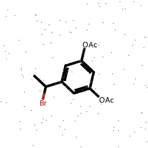 CC(=O)Oc1cc(OC(C)=O)cc(C(C)Br)c1